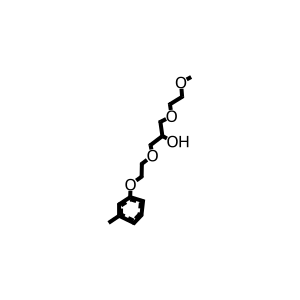 COCCOCC(O)COCCOc1cccc(C)c1